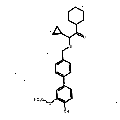 O=C(O)Oc1cc(-c2ccc(CNC(C(=O)C3CCCCC3)C3CC3)cc2)ccc1O